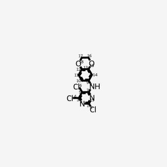 Clc1nc(Cl)c(Cl)c(Nc2ccc3c(c2)OCCO3)n1